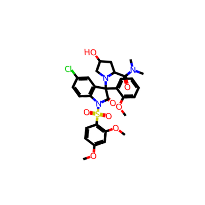 COc1ccc(S(=O)(=O)N2C(=O)C(c3ccccc3OC)(N3CC(O)CC3C(=O)N(C)C)c3cc(Cl)ccc32)c(OC)c1